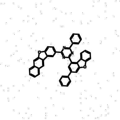 c1ccc(-c2cc(-c3nc(-c4ccccc4)nc(-c4ccc5oc6cc7ccccc7cc6c5c4)n3)c3c(c2)oc2ccccc23)cc1